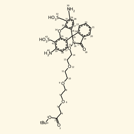 CC(C)(C)OC(=O)CCOCCOCCOCCON1C(=O)c2ccccc2C12c1ccc(N)c(S(=O)(=O)O)c1Oc1c2ccc(N)c1S(=O)(=O)O